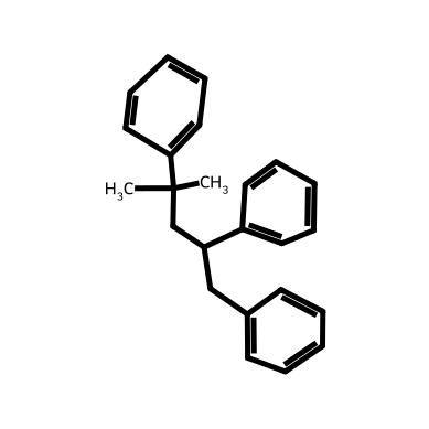 CC(C)(CC(Cc1ccccc1)c1ccccc1)c1ccccc1